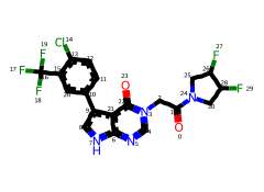 O=C(Cn1cnc2[nH]cc(-c3ccc(Cl)c(C(F)(F)F)c3)c2c1=O)N1CC(F)C(F)C1